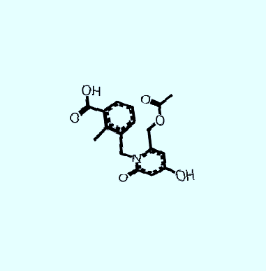 CC(=O)OCc1cc(O)cc(=O)n1Cc1cccc(C(=O)O)c1C